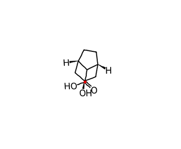 O=C(O)C1[C@@H]2CC[C@H]1C[C@H](O)C2